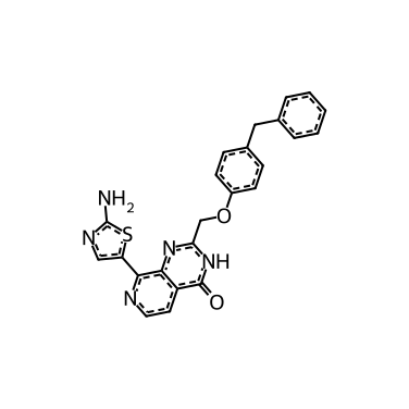 Nc1ncc(-c2nccc3c(=O)[nH]c(COc4ccc(Cc5ccccc5)cc4)nc23)s1